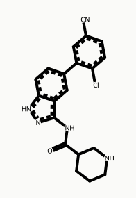 N#Cc1ccc(Cl)c(-c2ccc3[nH]nc(NC(=O)C4CCCNC4)c3c2)c1